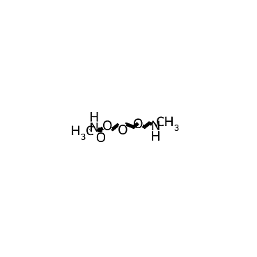 CNCCOCCOCCOC(=O)NC